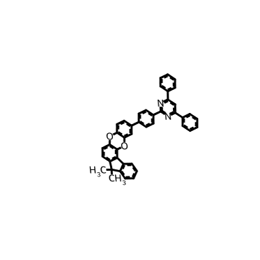 CC1(C)c2ccccc2-c2c1ccc1c2Oc2cc(-c3ccc(-c4nc(-c5ccccc5)cc(-c5ccccc5)n4)cc3)ccc2O1